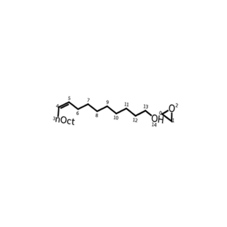 C1CO1.CCCCCCCC/C=C\CCCCCCCCO